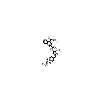 CCS(=O)(=O)N1CCC(Cn2cc(NC(=O)c3cc(C(N)=O)c4ccccc4n3)c(C)n2)CC1